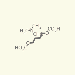 CN(C)C=O.O=C(O)OCCCCOC(=O)O